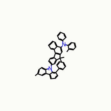 Cc1ccc2c(c1)c1cccc(-c3ccccc3)c1n2-c1ccc2c(c1)C(C)(C)c1cc(N(c3ccccc3)c3ccccc3C)c3ccccc3c1-2